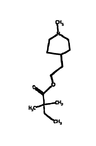 CCC(C)(C)C(=O)OCCC1CCN(C)CC1